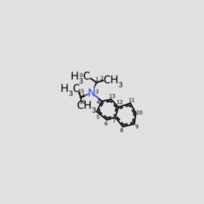 CC(C)N(c1ccc2ccccc2c1)C(C)C